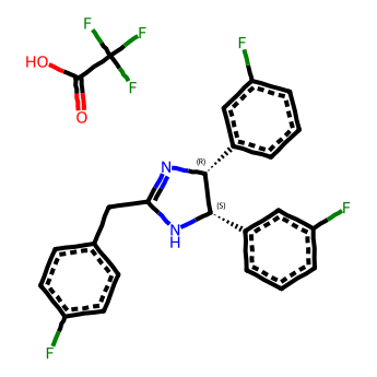 Fc1ccc(CC2=N[C@H](c3cccc(F)c3)[C@H](c3cccc(F)c3)N2)cc1.O=C(O)C(F)(F)F